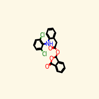 O=C(Cc1ccccc1Nc1c(Cl)cccc1Cl)OC1OC(=O)c2ccccc21